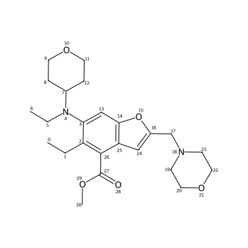 CCc1c(N(CC)C2CCOCC2)cc2oc(CN3CCOCC3)cc2c1C(=O)OC